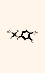 CC(F)(F)Oc1ccc(C(C)(C)C)c(F)c1